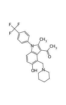 CC(=O)c1c(C)n(-c2ccc(C(F)(F)F)cc2)c2ccc(O)c(CN3CCCCC3)c12